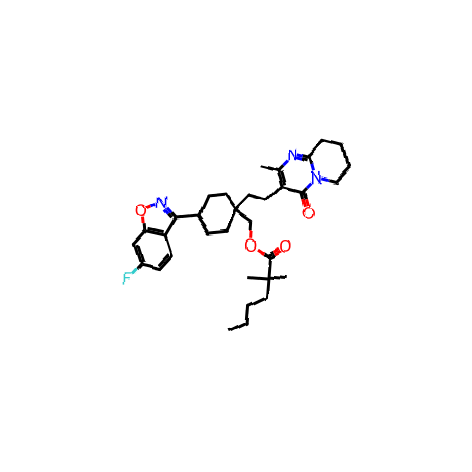 CCCCC(C)(C)C(=O)OCC1(CCc2c(C)nc3n(c2=O)CCCC3)CCC(c2noc3cc(F)ccc23)CC1